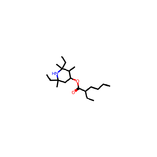 CCCCC(CC)C(=O)OC1CC(C)(CC)NC(C)(CC)C1C